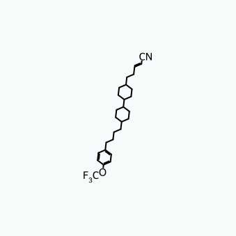 N#CC=CCCC1CCC(C2CCC(CCCCc3ccc(OC(F)(F)F)cc3)CC2)CC1